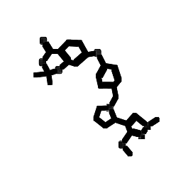 COc1nn(C)cc1C1CCCN1Cc1ccc(Oc2ccc3c(c2)OC(C)(C)OC3=O)cc1